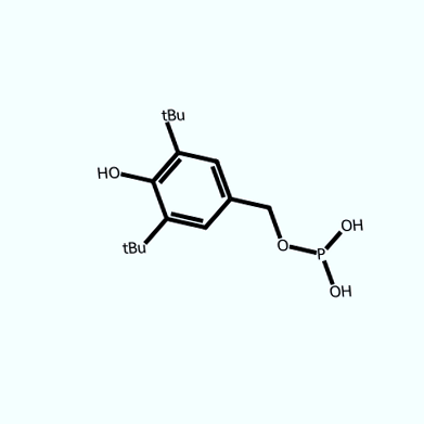 CC(C)(C)c1cc(COP(O)O)cc(C(C)(C)C)c1O